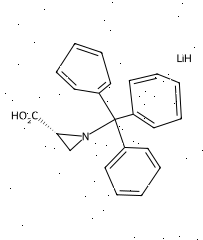 O=C(O)[C@H]1CN1C(c1ccccc1)(c1ccccc1)c1ccccc1.[LiH]